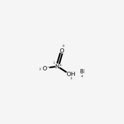 O=[N+]([O-])O.[B]